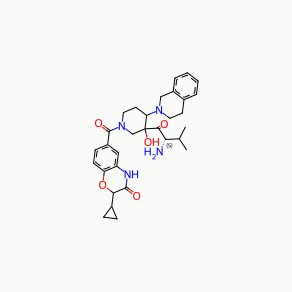 CC(C)[C@H](N)C(=O)C1(O)CN(C(=O)c2ccc3c(c2)NC(=O)C(C2CC2)O3)CCC1N1CCc2ccccc2C1